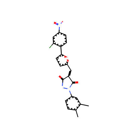 Cc1ccc(N2NC(=O)/C(=C\c3ccc(-c4ccc([N+](=O)[O-])cc4Cl)o3)C2=O)cc1C